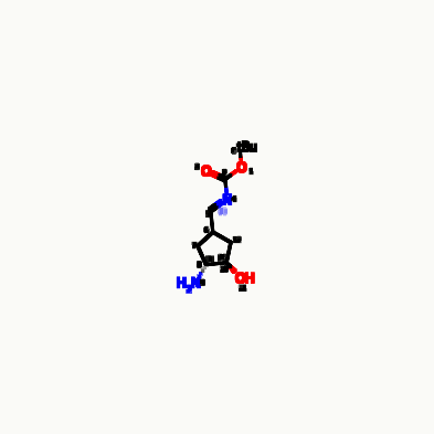 CC(C)(C)OC(=O)/N=C/C1C[C@@H](N)[C@H](O)C1